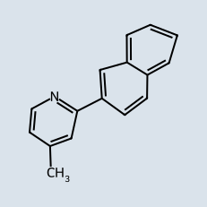 Cc1ccnc(-c2ccc3ccccc3c2)c1